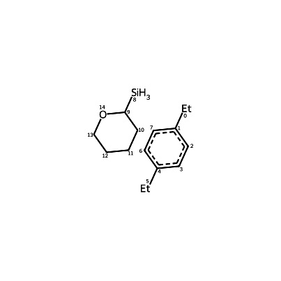 CCc1ccc(CC)cc1.[SiH3]C1CCCCO1